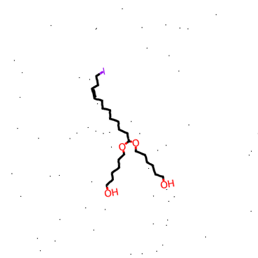 OCCCCCCOC(CCCCCCC/C=C\CCI)OCCCCCCO